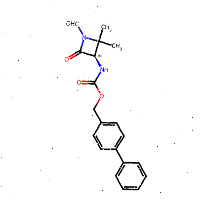 CC1(C)[C@@H](NC(=O)OCc2ccc(-c3ccccc3)cc2)C(=O)N1C=O